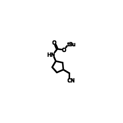 CC(C)(C)OC(=O)NC1CCC(CC#N)C1